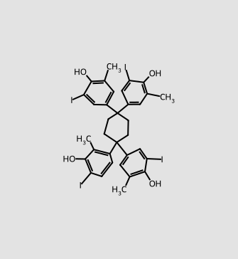 Cc1cc(C2(c3cc(C)c(O)c(I)c3)CCC(c3cc(C)c(O)c(I)c3)(c3ccc(I)c(O)c3C)CC2)cc(I)c1O